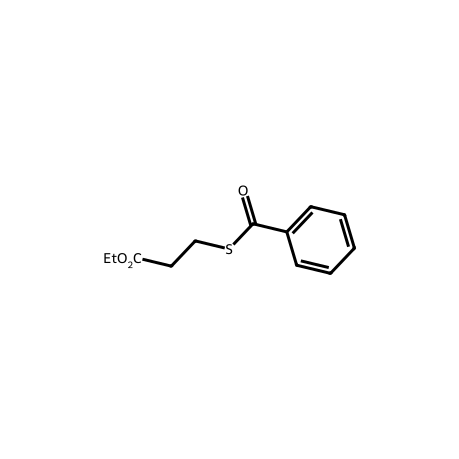 CCOC(=O)CCSC(=O)c1ccccc1